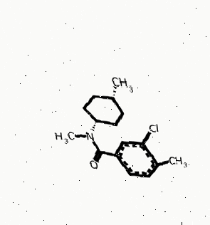 Cc1ccc(C(=O)N(C)[C@H]2CC[C@@H](C)CC2)cc1Cl